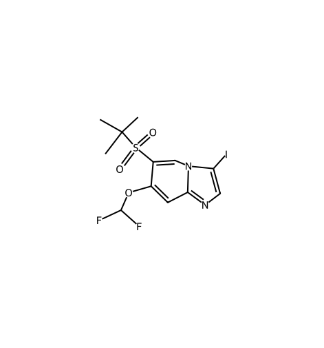 CC(C)(C)S(=O)(=O)c1cn2c(I)cnc2cc1OC(F)F